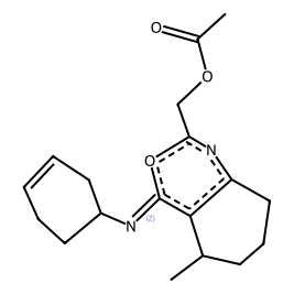 CC(=O)OCc1nc2c(/c(=N/C3CC=CCC3)o1)C(C)CCC2